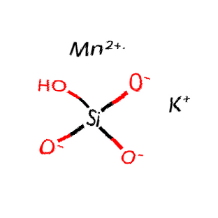 [K+].[Mn+2].[O-][Si]([O-])([O-])O